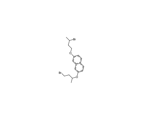 CC(Br)CCOc1ccc2ccc(OC(C)CCBr)cc2c1